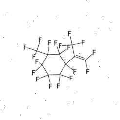 FC(F)=C(C(F)(F)F)C1(F)C(F)(F)C(F)(F)C(F)(F)C(F)(C(F)(F)F)C1(F)F